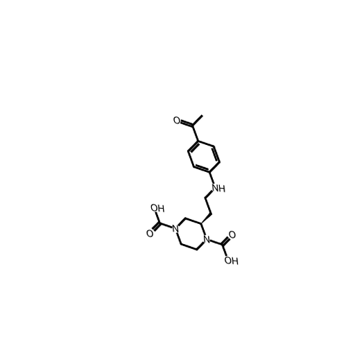 CC(=O)c1ccc(NCC[C@@H]2CN(C(=O)O)CCN2C(=O)O)cc1